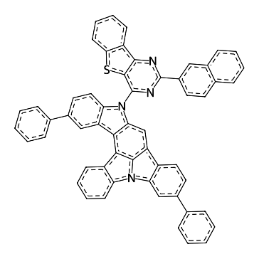 c1ccc(-c2ccc3c(c2)c2c4c5ccccc5n5c6cc(-c7ccccc7)ccc6c(cc2n3-c2nc(-c3ccc6ccccc6c3)nc3c2sc2ccccc23)c45)cc1